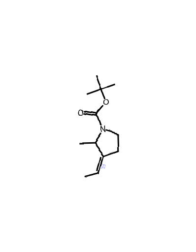 C/C=C1/CCN(C(=O)OC(C)(C)C)C1C